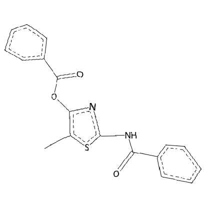 Cc1sc(NC(=O)c2ccccc2)nc1OC(=O)c1ccccc1